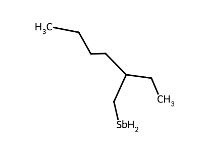 CCCCC(CC)[CH2][SbH2]